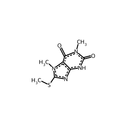 CSc1nc2[nH]c(=O)n(C)c(=O)c2n1C